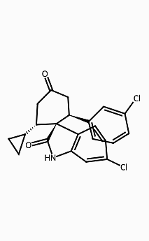 O=C1C[C@@H](c2cccc(Cl)c2)[C@@]2(C(=O)Nc3cc(Cl)ccc32)[C@H](C2CC2)C1